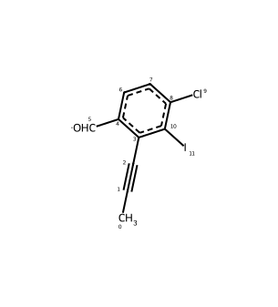 CC#Cc1c([C]=O)ccc(Cl)c1I